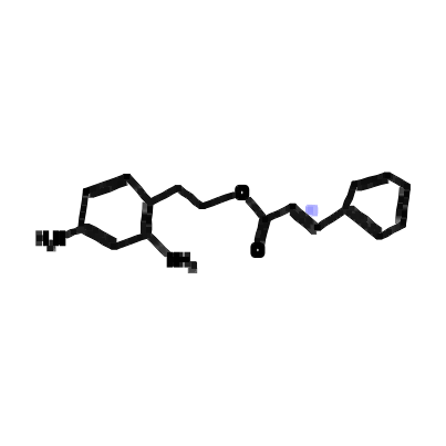 Nc1ccc(CCOC(=O)/C=C/c2ccccc2)c(N)c1